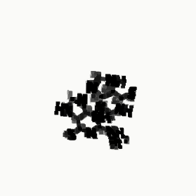 Nc1nc(=S)c2[nH]cnc2[nH]1.S=c1[nH]cnc2nc[nH]c12.[Pt]